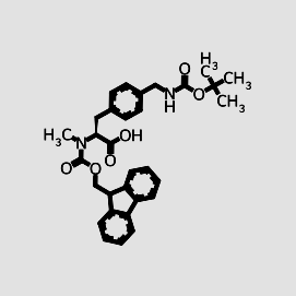 CN(C(=O)OCC1c2ccccc2-c2ccccc21)[C@@H](Cc1ccc(CNC(=O)OC(C)(C)C)cc1)C(=O)O